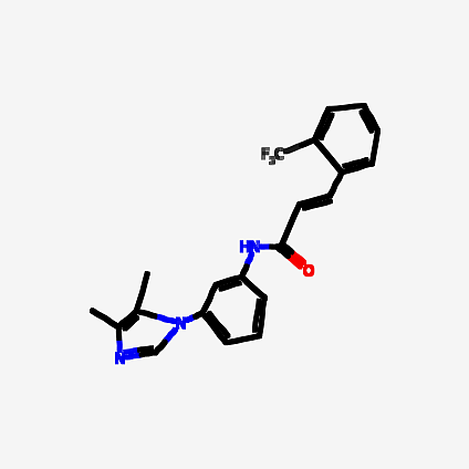 Cc1ncn(-c2cccc(NC(=O)C=Cc3ccccc3C(F)(F)F)c2)c1C